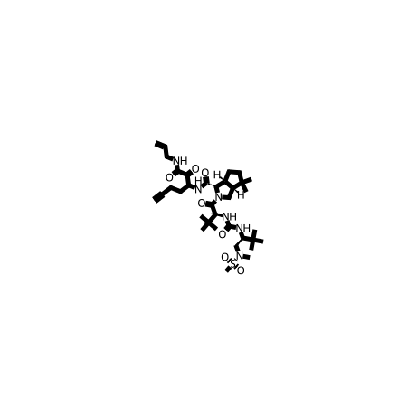 C#CCCC(NC(=O)[C@@H]1[C@H]2CCC(C)(C)[C@H]2CN1C(=O)[C@@H](NC(=O)N[C@H](CN(C)S(C)(=O)=O)C(C)(C)C)C(C)(C)C)C(=O)C(=O)NCC=C